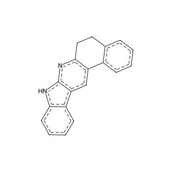 c1ccc2c(c1)CCc1nc3[nH]c4ccccc4c3cc1-2